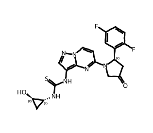 O=C1C[C@H](c2cc(F)ccc2F)N(c2ccn3ncc(NC(=S)N[C@@H]4C[C@H]4O)c3n2)C1